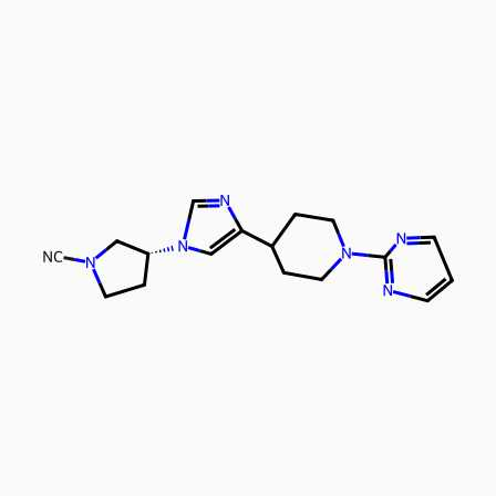 N#CN1CC[C@@H](n2cnc(C3CCN(c4ncccn4)CC3)c2)C1